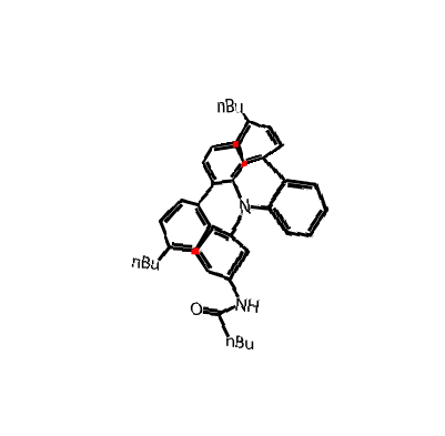 CCCCC(=O)Nc1cccc(N(c2ccccc2-c2ccc(CCCC)cc2)c2ccccc2-c2ccc(CCCC)cc2)c1